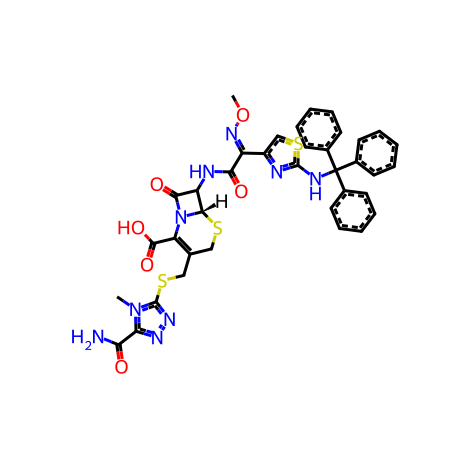 CON=C(C(=O)NC1C(=O)N2C(C(=O)O)=C(CSc3nnc(C(N)=O)n3C)CS[C@@H]12)c1csc(NC(c2ccccc2)(c2ccccc2)c2ccccc2)n1